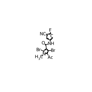 CC(=O)c1c(Br)c(C(=O)Nc2ccc(F)c(C#N)c2)c(Br)n1C